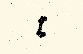 C=C(CCC(=C)CC1CC(C)(C)N(CC(C)c2ccccc2)C(C)(C)C1)CC1CC(C)(C)N(CC(C)c2ccccc2)C(C)(C)C1